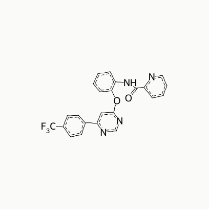 O=C(Nc1ccccc1Oc1cc(-c2ccc(C(F)(F)F)cc2)ncn1)c1ccccn1